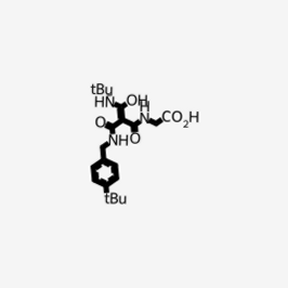 CC(C)(C)N/C(O)=C(/C(=O)NCC(=O)O)C(=O)NCc1ccc(C(C)(C)C)cc1